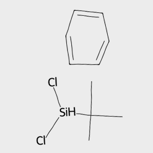 CC(C)(C)[SiH](Cl)Cl.c1ccccc1